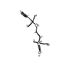 C#CC(C)(C)OCCP(C)(C)=O